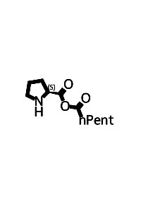 CCCCCC(=O)OC(=O)[C@@H]1CCCN1